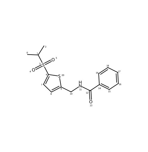 CC(C)S(=O)(=O)c1ccc(CNC(=O)c2ccccc2)s1